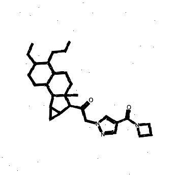 CCCC1C(CC)CCC2C1CCC1(C)C(C(=O)Cn3cc(C(=O)N4CCC4)cn3)C3CC3C21